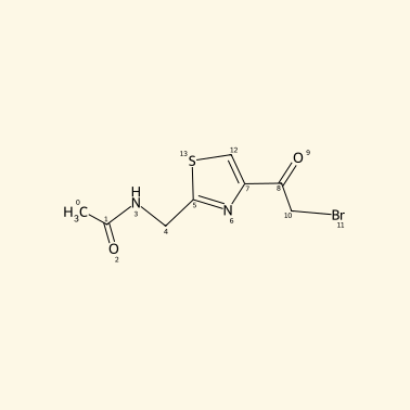 CC(=O)NCc1nc(C(=O)CBr)cs1